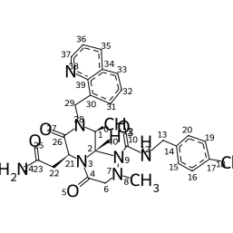 C[C@H]1[C@H]2N(C(=O)CN(C)N2C(=O)NCc2ccc(Cl)cc2)[C@@H](CC(N)=O)C(=O)N1Cc1cccc2cccnc12